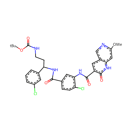 COc1cc2[nH]c(=O)c(C(=O)Nc3cc(C(=O)NC(CCNC(=O)OC(C)(C)C)c4cccc(Cl)c4)ccc3Cl)cc2cn1